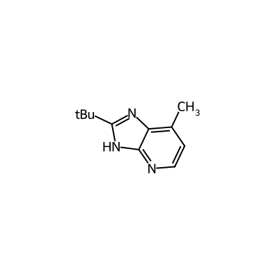 Cc1ccnc2[nH]c(C(C)(C)C)nc12